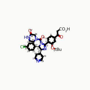 CC(C)(C)Oc1cc(C(=O)CC(=O)O)ccc1C1=N[C@@H](c2ccncc2)[C@@H](c2ccc(Cl)cc2)N1C(=O)N1CCNC(=O)C1